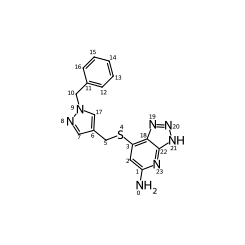 Nc1cc(SCc2cnn(Cc3ccccc3)c2)c2nn[nH]c2n1